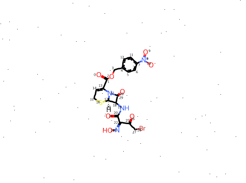 O=C(OCc1ccc([N+](=O)[O-])cc1)C1=CCS[C@@H]2C(NC(=O)/C(=N\O)C(=O)CBr)C(=O)N12